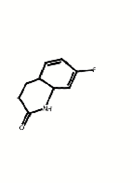 O=C1CCC2C=CC(F)=CC2N1